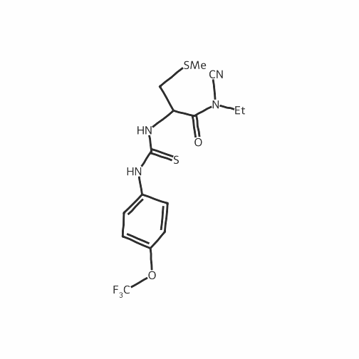 CCN(C#N)C(=O)C(CSC)NC(=S)Nc1ccc(OC(F)(F)F)cc1